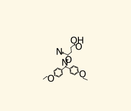 CCOc1ccc(C(=NOC(C#N)CCC(=O)O)c2ccc(OCC)cc2)cc1